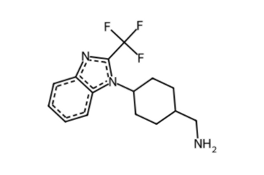 NCC1CCC(n2c(C(F)(F)F)nc3ccccc32)CC1